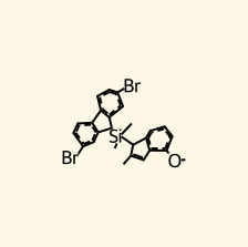 COc1cccc2c1C=C(C)C2[Si](C)(C)C1c2cc(Br)ccc2-c2ccc(Br)cc21